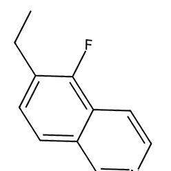 CCc1ccc2cnccc2c1F